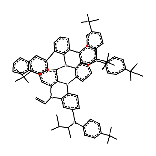 C=CN1c2cc(N(c3ccc(C(C)(C)C)cc3)C(C)C(C)C)ccc2B2c3ccc(N(c4ccc(C(C)(C)C)cc4)c4ccc(C(C)(C)C)cc4)cc3N(c3c(-c4ccc(C(C)(C)C)cc4)cccc3-c3ccc(C(C)(C)C)cc3)c3cc(-c4ccccc4)cc1c32